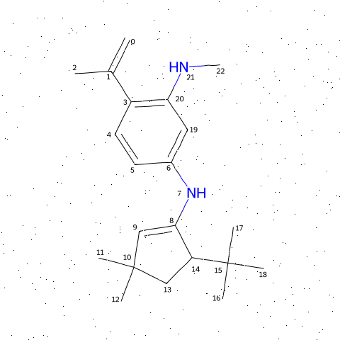 C=C(C)c1ccc(NC2=CC(C)(C)CC2C(C)(C)C)cc1NC